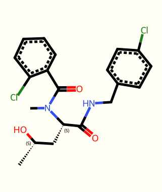 C[C@H](O)C[C@@H](C(=O)NCc1ccc(Cl)cc1)N(C)C(=O)c1ccccc1Cl